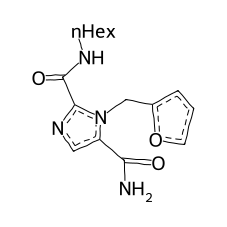 CCCCCCNC(=O)c1ncc(C(N)=O)n1Cc1ccco1